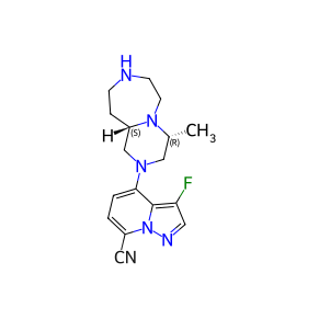 C[C@@H]1CN(c2ccc(C#N)n3ncc(F)c23)C[C@@H]2CCNCCN21